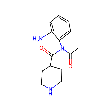 CC(=O)N(C(=O)C1CCNCC1)c1ccccc1N